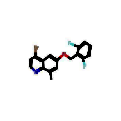 Cc1cc(OCc2c(F)cccc2F)cc2c(Br)ccnc12